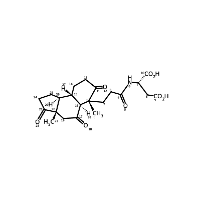 C[C@]1(CCC(=O)N[C@@H](CC(=O)O)C(=O)O)C(=O)CC[C@@H]2[C@@H]1C(=O)C[C@]1(C)C(=O)CC[C@@H]21